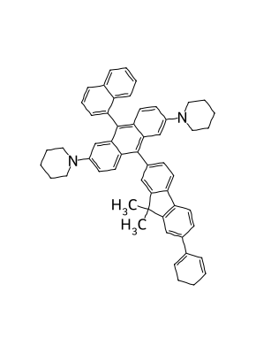 CC1(C)c2cc(C3=CCCC=C3)ccc2-c2ccc(-c3c4cc(N5CCCCC5)ccc4c(-c4cccc5ccccc45)c4cc(N5CCCCC5)ccc34)cc21